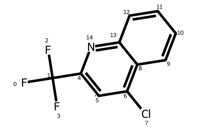 FC(F)(F)c1[c]c(Cl)c2ccccc2n1